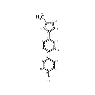 Cc1nc(-c2ccc(-c3ccc(F)cc3)nc2)cs1